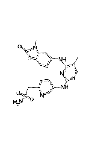 Cc1cnc(Nc2ccc(CS(N)(=O)=O)nc2)nc1Nc1ccc2oc(=O)n(C)c2c1